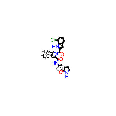 C[Si]1(C)CC(C(=O)N[C@H](C#N)C[C@@H]2CCNC2=O)N(C(=O)c2cc3cccc(Cl)c3[nH]2)C1